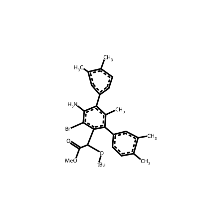 COC(=O)C(OC(C)(C)C)c1c(Br)c(N)c(-c2ccc(C)c(C)c2)c(C)c1-c1ccc(C)c(C)c1